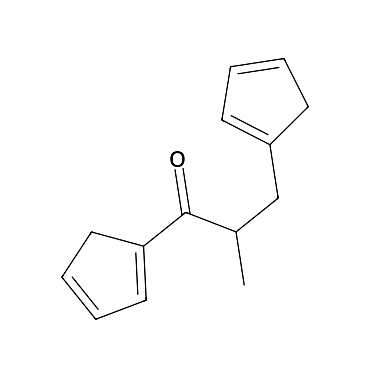 CC(CC1=CC=CC1)C(=O)C1=CC=CC1